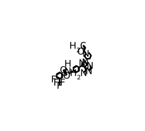 C=CC(=O)N1CCC[C@@H](n2nc(-c3ccc(CNS(=O)(=O)c4ccc(F)c(C(F)(F)F)c4)cc3)c3c(N)ncnc32)C1